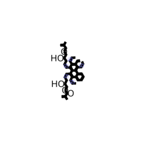 C=Cc1c(/C=C\C)c(/C=C\CC(O)COCC(=C)C)c2c(/C=C\CC(O)COC(=O)C(=C)C)c(/C=C\C)c3ccccc3c2c1/C=C\C